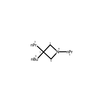 CCCCC1(CCC)CN(CCC)C1